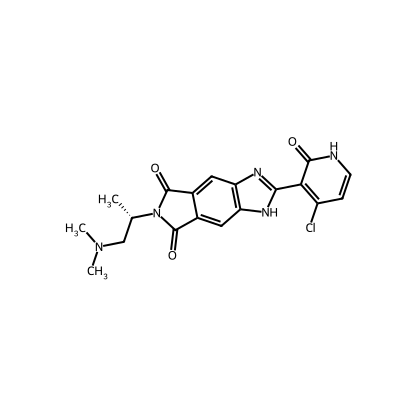 C[C@@H](CN(C)C)N1C(=O)c2cc3nc(-c4c(Cl)cc[nH]c4=O)[nH]c3cc2C1=O